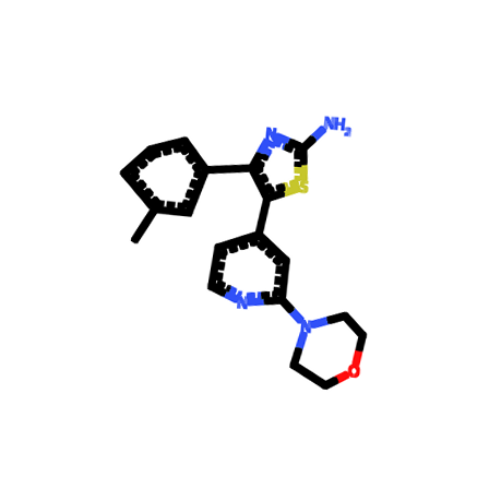 Cc1cccc(-c2nc(N)sc2-c2ccnc(N3CCOCC3)c2)c1